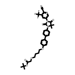 CC(C)(C)OC(=O)COCCCCOc1ccc(-c2ccc(N3C(=S)N(c4cnc(C#N)c(C(F)(F)F)c4)C(=O)C3(C)C)cc2)cc1